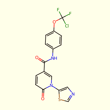 O=C(Nc1ccc(OC(F)(F)Cl)cc1)c1ccc(=O)n(-c2cncs2)c1